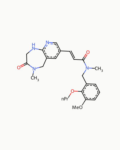 CCCOc1c(CN(C)C(=O)C=Cc2cnc3c(c2)CN(C)C(=O)CN3)cccc1OC